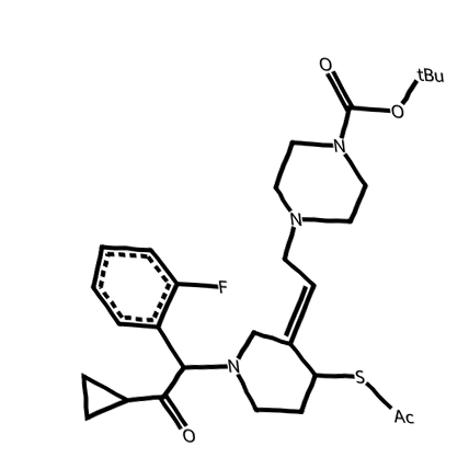 CC(=O)SC1CCN(C(C(=O)C2CC2)c2ccccc2F)C/C1=C\CN1CCN(C(=O)OC(C)(C)C)CC1